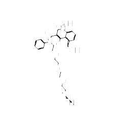 CCc1cccc2c1c(O)c(C(=O)N(CCOCCOCCOCCN=[N+]=[N-])c1ccccc1)c(=O)n2C